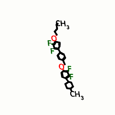 CCCCCOc1ccc(-c2ccc(COc3ccc(C4CCC(C)CC4)c(F)c3F)cc2)c(F)c1F